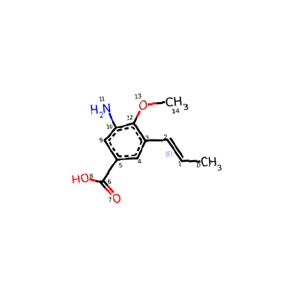 C/C=C/c1cc(C(=O)O)cc(N)c1OC